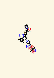 Cc1cc(C)cc(-c2[nH]c3sc(C(C)(C)C(=O)N4C5CCC4CC5)cc3c2CCN2CCC(CNS(=O)(=O)c3c(C)noc3C)CC2)c1